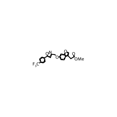 COC(=O)Cc1coc2cc(OCc3cc(-c4ccc(C(F)(F)F)cc4)on3)ccc12